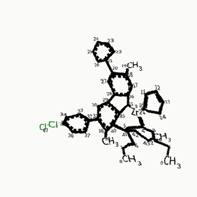 CCCC[C](CCCC)=[Zr+2]([C]1=CC=CC1)[CH]1c2cc(C)c(-c3ccccc3)cc2-c2cc(-c3ccccc3)c(C)c(CCCC)c21.[Cl-].[Cl-]